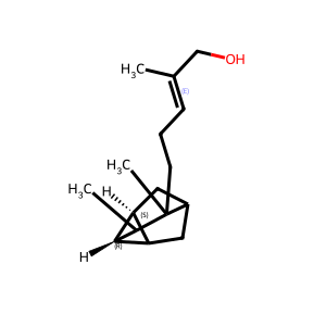 C/C(=C\CCC1(C)C2CC3[C@@H](C1C)[C@H]3C2)CO